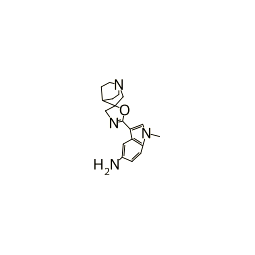 Cn1cc(C2=NCC3(CN4CCC3CC4)O2)c2cc(N)ccc21